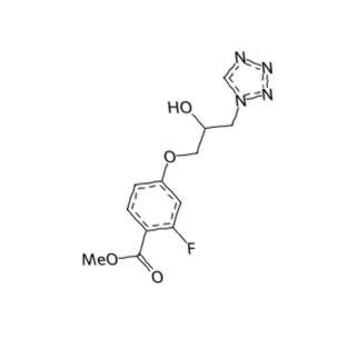 COC(=O)c1ccc(OCC(O)Cn2cnnn2)cc1F